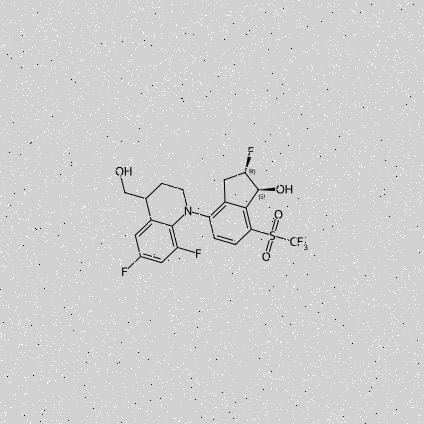 O=S(=O)(c1ccc(N2CCC(CO)c3cc(F)cc(F)c32)c2c1[C@H](O)[C@H](F)C2)C(F)(F)F